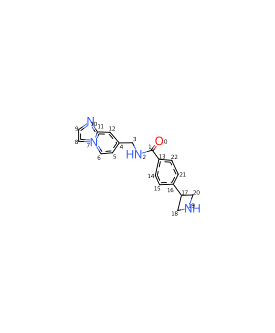 O=C(NCc1ccn2ccnc2c1)c1ccc(C2CNC2)cc1